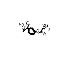 CCCC(CCN)COc1cccc(C(CC(=O)O)C2CC2)c1